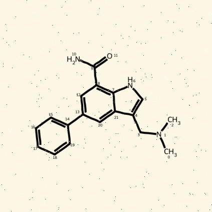 CN(C)Cc1c[nH]c2c(C(N)=O)cc(-c3ccccc3)cc12